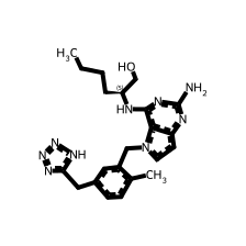 CCCC[C@@H](CO)Nc1nc(N)nc2ccn(Cc3cc(Cc4nnn[nH]4)ccc3C)c12